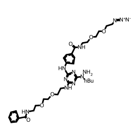 CCCCN(N)c1nc(NCCOCCOCCNC(=O)c2ccccc2)nc(Nc2ccc(C(=O)NCCOCCOCCN=[N+]=[N-])cc2)n1